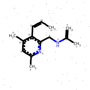 C=C(C)NCc1nc(C)cc(C)c1/C=C\C